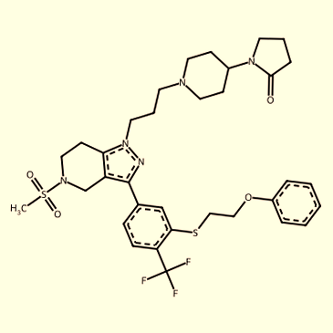 CS(=O)(=O)N1CCc2c(c(-c3ccc(C(F)(F)F)c(SCCOc4ccccc4)c3)nn2CCCN2CCC(N3CCCC3=O)CC2)C1